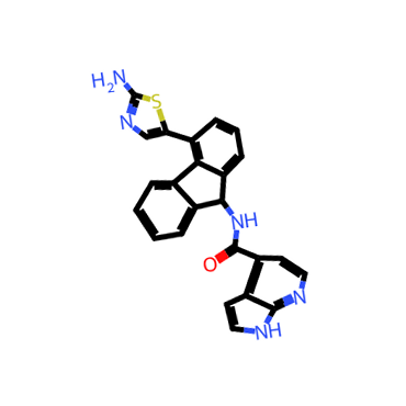 Nc1ncc(-c2cccc3c2-c2ccccc2C3NC(=O)c2ccnc3[nH]ccc23)s1